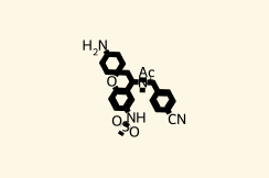 CC(=O)[N+](C)(Cc1ccc(C#N)cc1)C1CC2(CCC(N)CC2)Oc2ccc(NS(C)(=O)=O)cc21